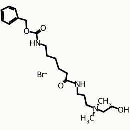 C[N+](C)(CCO)CCCNC(=O)CCCCCNC(=O)OCc1ccccc1.[Br-]